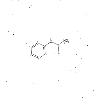 O=[N+]([O-])C(Cl)Oc1ccccc1